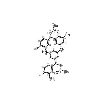 CC(C)(C)[S@@+]([O-])N[C@H](c1cc(C#N)cc(Nc2cc([C@@H](N[S@+]([O-])C(C)(C)C)c3cccc(C#N)c3)ccc2F)c1)c1ccc(F)c(N)c1